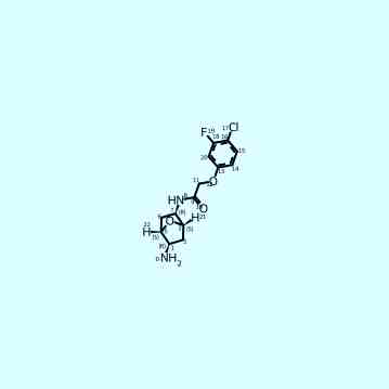 N[C@@H]1C[C@@H]2O[C@H]1C[C@H]2NC(=O)COc1ccc(Cl)c(F)c1